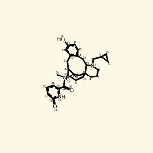 C[C@H]1CC23CCCN(CC4CC4)C2Cc2ccc(O)cc2CC1C(N(C)C(=O)c1cccc(=O)[nH]1)CC3